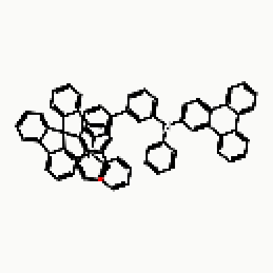 c1ccc(N(c2cccc(-c3cccc(N(c4ccccc4)c4cccc5c4C4(c6ccccc6-5)c5ccccc5-c5ccc6ccccc6c54)c3)c2)c2ccc3c4ccccc4c4ccccc4c3c2)cc1